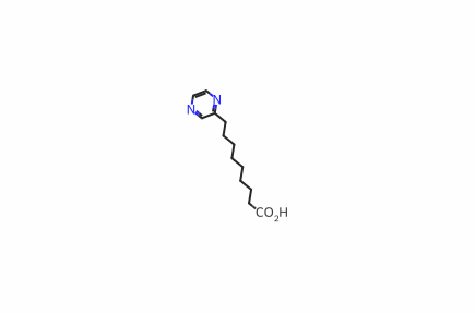 O=C(O)CCCCCCCCc1cnccn1